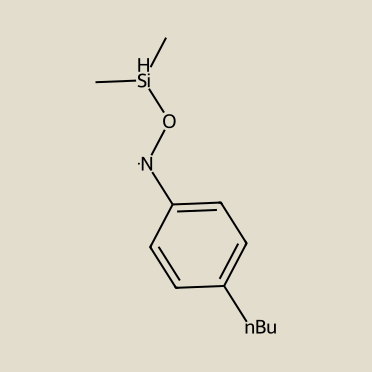 CCCCc1ccc([N]O[SiH](C)C)cc1